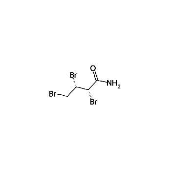 NC(=O)[C@H](Br)[C@@H](Br)CBr